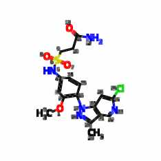 COc1cc(NS(=O)(=O)CCC(N)=O)ccc1-n1nc(C)c2cnc(Cl)cc21